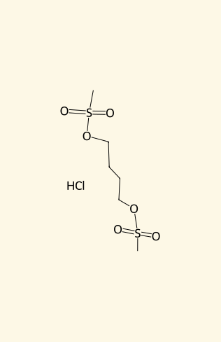 CS(=O)(=O)OCCCCOS(C)(=O)=O.Cl